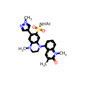 CC(=O)NS(=O)(=O)c1cc2c(cc1-c1cnn(C)c1)N(C)CCN2c1cccc2c1cc(C)c(=O)n2C